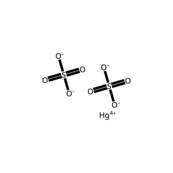 O=S(=O)([O-])[O-].O=S(=O)([O-])[O-].[Hg+4]